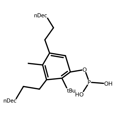 CCCCCCCCCCCCc1cc(OP(O)O)c(C(C)(C)C)c(CCCCCCCCCCCC)c1C